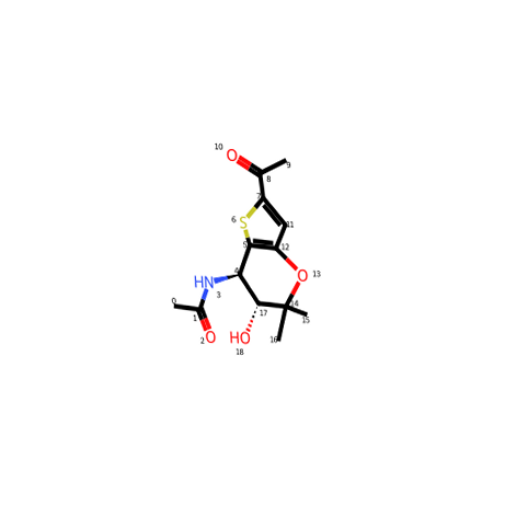 CC(=O)N[C@H]1c2sc(C(C)=O)cc2OC(C)(C)[C@@H]1O